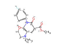 COC(=O)c1cc2c(n(-c3ccc(F)cc3)c1=O)OCCN2C